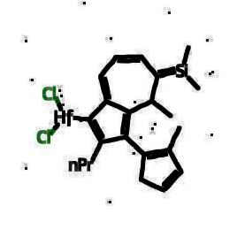 CCCC1=[C]([Hf]([Cl])[Cl])C2=CC=CC(=[Si](C)C)C(C)C2=C1C1=C(C)C=CC1